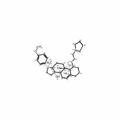 COc1ccc([C@H]2CC[C@]3(O)[C@@H]4CC=C5CCCC(OCCN6CCCC6)[C@]5(C)[C@H]4CC[C@]23C)cc1